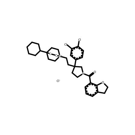 O=C(c1cccc2c1OCC2)N1CCC(CC[N+]23CCC(C4CCCCC4)(CC2)CC3)(c2ccc(Cl)c(Cl)c2)C1.[Cl-]